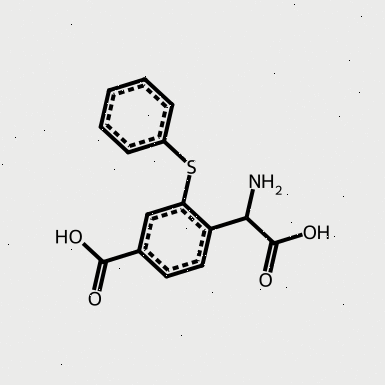 NC(C(=O)O)c1ccc(C(=O)O)cc1Sc1ccccc1